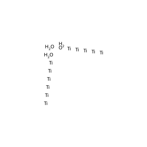 O.O.O.[Ti].[Ti].[Ti].[Ti].[Ti].[Ti].[Ti].[Ti].[Ti].[Ti].[Ti]